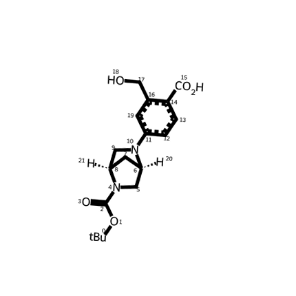 CC(C)(C)OC(=O)N1C[C@H]2C[C@@H]1CN2c1ccc(C(=O)O)c(CO)c1